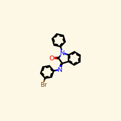 O=C1/C(=N\c2cccc(Br)c2)c2ccccc2N1c1ccccc1